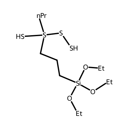 [CH2]CCS(S)(CCC[Si](OCC)(OCC)OCC)SS